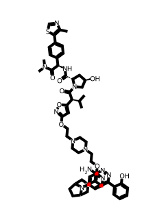 Cc1ncsc1-c1ccc([C@@H](NC(=O)[C@@H]2C[C@@H](O)CN2C(=O)[C@H](c2cc(OCCN3CCN(CCOc4cc(N5C6CCC5CN(c5cc(-c7ccccc7O)nnc5N)C6)ccn4)CC3)no2)C(C)C)C(=O)N(C)C)cc1